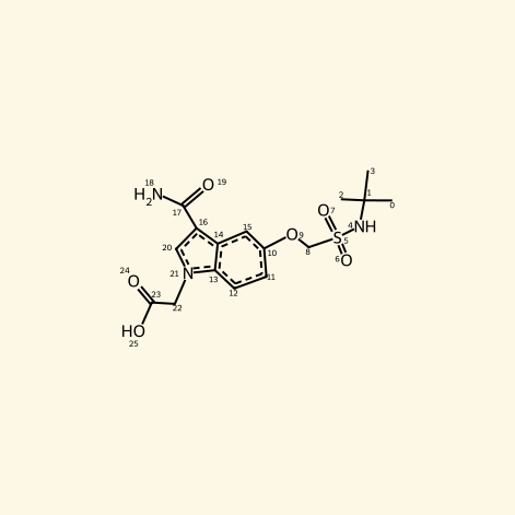 CC(C)(C)NS(=O)(=O)COc1ccc2c(c1)c(C(N)=O)cn2CC(=O)O